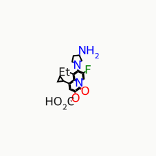 CCc1c(N2CCC(N)C2)c(F)cn2c(=O)c(OC(=O)O)cc(C3CC3)c12